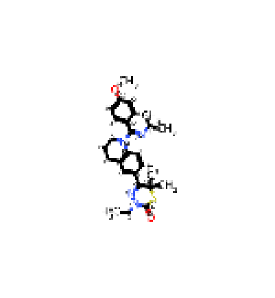 CCN1N=C(c2ccc3c(c2)CCCN3C(=NC(C)C)c2ccc(OC)cc2)C(C)(C)SC1=O